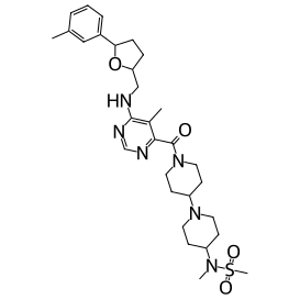 Cc1cccc(C2CCC(CNc3ncnc(C(=O)N4CCC(N5CCC(N(C)S(C)(=O)=O)CC5)CC4)c3C)O2)c1